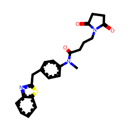 CN(C(=O)CCCN1C(=O)CCC1=O)c1ccc(Cc2nc3ccccc3s2)cc1